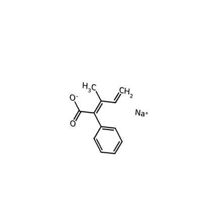 C=CC(C)=C(C(=O)[O-])c1ccccc1.[Na+]